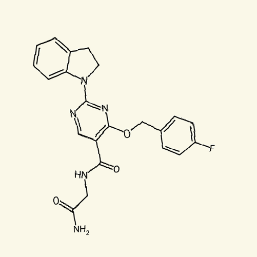 NC(=O)CNC(=O)c1cnc(N2CCc3ccccc32)nc1OCc1ccc(F)cc1